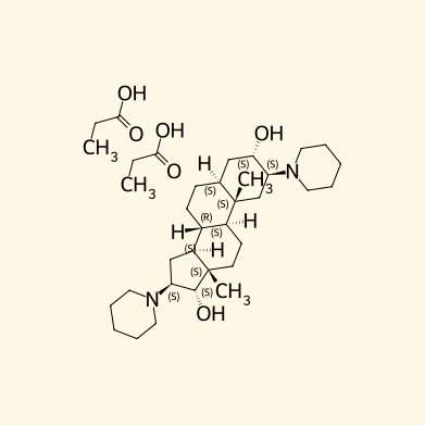 CCC(=O)O.CCC(=O)O.C[C@]12C[C@H](N3CCCCC3)[C@@H](O)C[C@@H]1CC[C@@H]1[C@@H]2CC[C@]2(C)[C@H](O)[C@@H](N3CCCCC3)C[C@@H]12